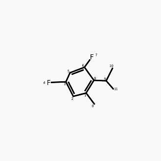 Cc1cc(F)cc(F)c1C(C)C